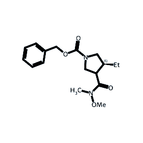 CC[C@@H]1CN(C(=O)OCc2ccccc2)CC1C(=O)N(C)OC